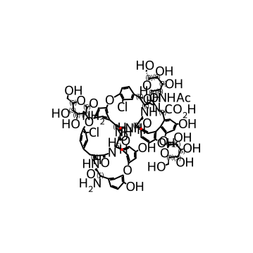 CC(=O)N[C@H]1[C@H](O[C@@H]2c3ccc(c(Cl)c3)Oc3cc4cc(c3O[C@@H]3O[C@H](CO)[C@@H](O)[C@H](O)[C@H]3N)Oc3ccc(cc3Cl)C[C@H]3NC(=O)[C@@H](N)c5ccc(O)c(c5)Oc5cc(O)cc(c5)[C@H](NC3=O)C(=O)N[C@H]4C(=O)N[C@H]3C(=O)N[C@@H]2C(=O)N[C@@H](C(=O)O)c2cc(O)cc(O[C@H]4O[C@H](CO)[C@@H](O)[C@H](O)[C@@H]4O)c2-c2cc3ccc2O)O[C@H](CO)[C@@H](O)[C@@H]1O